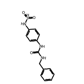 O=C(NCc1ccccc1)Nc1ccc(N[SH](=O)=O)cc1